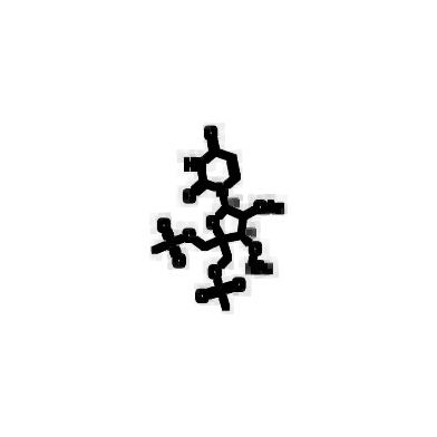 CCCCO[C@@H]1C(OC(C)=O)[C@H](n2ccc(=O)[nH]c2=O)OC1(COS(C)(=O)=O)COS(C)(=O)=O